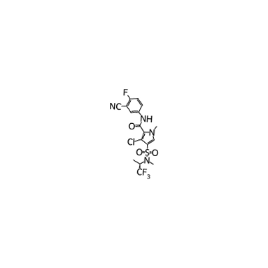 C[C@@H](N(C)S(=O)(=O)c1cn(C)c(C(=O)Nc2ccc(F)c(C#N)c2)c1Cl)C(F)(F)F